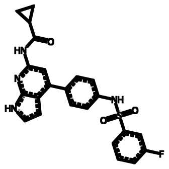 O=C(Nc1cc(-c2ccc(NS(=O)(=O)c3cccc(F)c3)cc2)c2cc[nH]c2n1)C1CC1